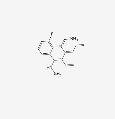 C=C/C=C(\N=C/N)C(/C=C)=C(/NN)c1cccc(F)c1